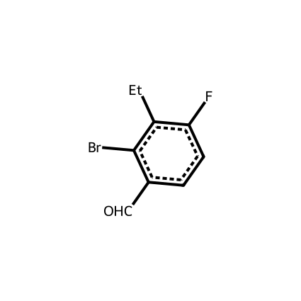 CCc1c(F)ccc(C=O)c1Br